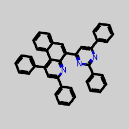 c1ccc(-c2cc(-c3cc4ccccc4c4c(-c5ccccc5)cc(-c5ccccc5)nc34)nc(-c3ccccc3)n2)cc1